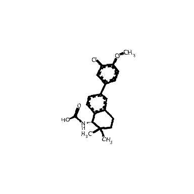 COc1ccc(-c2ccc3c(c2)CCC(C)(C)[C@@H]3NC(=O)O)cc1Cl